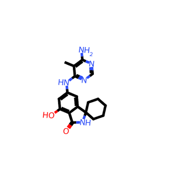 Cc1c(N)ncnc1Nc1cc(O)c2c(c1)C1(CCCCC1)NC2=O